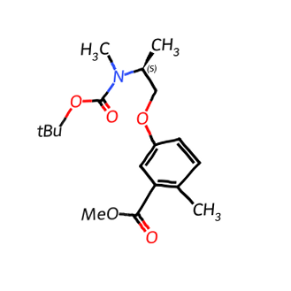 COC(=O)c1cc(OC[C@H](C)N(C)C(=O)OC(C)(C)C)ccc1C